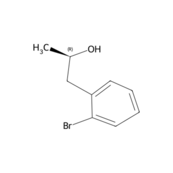 C[C@@H](O)Cc1ccccc1Br